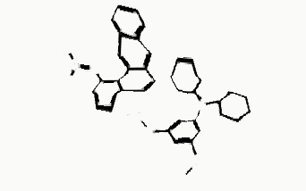 FC(F)(F)Oc1cc(OC(F)(F)F)cc(P(C2CCCCC2)C2CCCCC2)c1.OB(O)Oc1cccc2ccc3cc4ccccc4cc3c12